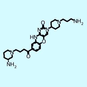 NCCCN1CCC(n2cc3c(nc2=O)Nc2cc(C(=O)CCCN4CCC[C@H](N)C4)ccc2O3)CC1